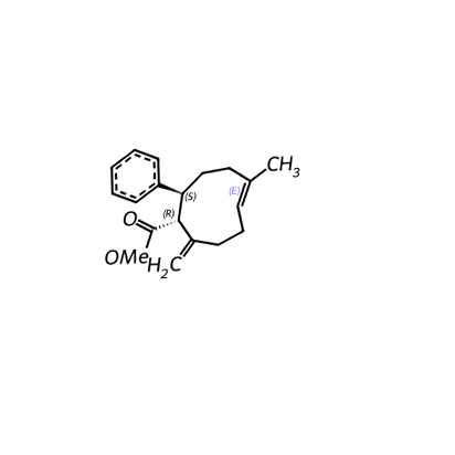 C=C1CC/C=C(\C)CC[C@H](c2ccccc2)[C@H]1C(=O)OC